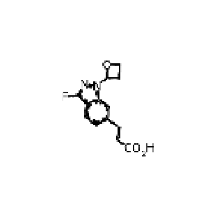 O=C(O)/C=C/c1ccc2c(F)nn(C3CCO3)c2c1